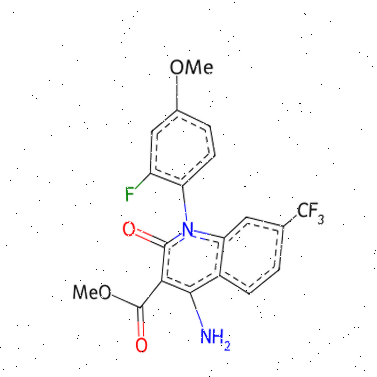 COC(=O)c1c(N)c2ccc(C(F)(F)F)cc2n(-c2ccc(OC)cc2F)c1=O